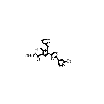 CCCCNC(=O)c1cc(-c2csc(-c3ccnc(CC)c3)n2)n(CC2CCCO2)c1C